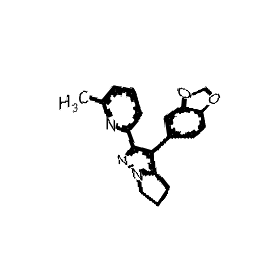 Cc1cccc(-c2nn3c(c2-c2ccc4c(c2)OCO4)CCC3)n1